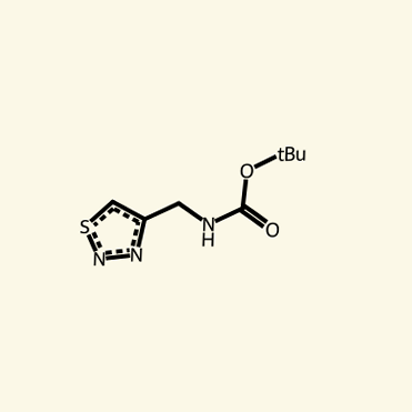 CC(C)(C)OC(=O)NCc1csnn1